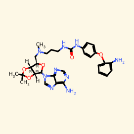 CN(CCCNC(=O)Nc1ccc(Oc2ccccc2N)cc1)C[C@H]1OC(n2cnc3c(N)ncnc32)[C@@H]2OC(C)(C)O[C@H]12